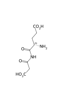 N[C@@H](CCC(=O)O)C(=O)NC(=O)CC(=O)O